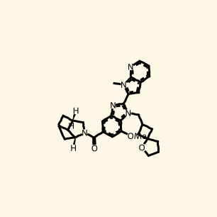 COc1cc(C(=O)N2C[C@H]3CC4C[C@@H]2[C@H]43)cc2nc(-c3cc4cccnc4n3C)n(CC3CC4(CCCO4)C3)c12